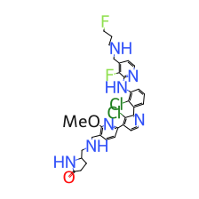 COc1nc(-c2ccnc(-c3cccc(Nc4nccc(CNCCCF)c4F)c3Cl)c2Cl)ccc1CNCC1CCC(=O)N1